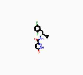 O=C(NC[C@H](Cc1cc(F)ccc1F)C1CC1)c1ccc(=O)[nH]n1